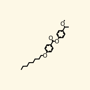 CCCCCCCCOc1ccc(C(=O)Oc2ccc(C(C)OC)cc2)cc1